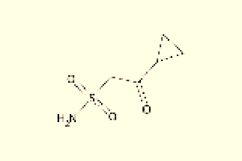 NS(=O)(=O)CC(=O)C1CC1